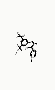 CN(Cc1cc(C(F)(F)F)cc(C(F)(F)F)c1)C(=O)n1cc[n+](C)c1.[I-]